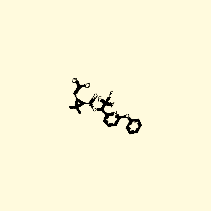 CC1(C)[C@H](C(=O)OC(c2cccc(Oc3ccccc3)n2)C(F)(F)F)[C@@H]1C=C(Cl)Cl